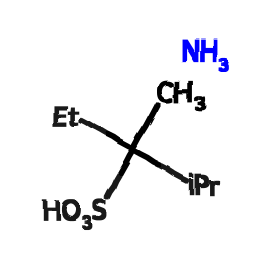 CCC(C)(C(C)C)S(=O)(=O)O.N